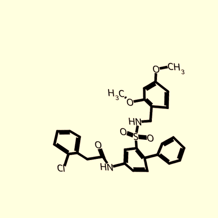 COc1ccc(CNS(=O)(=O)c2cc(NC(=O)Cc3ccccc3Cl)ccc2-c2ccccc2)c(OC)c1